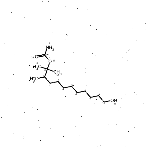 CC(CCCCCCCCCO)C(C)(C)OC(N)=O